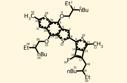 CCCCC(CC)COc1c2cc(-c3sc(C)c4c3C(F)=C4CC(CC)CCCC)sc2c(OCC(CC)CCCC)c2cc(C)sc12